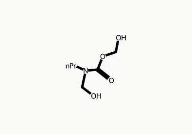 CCCN(CO)C(=O)OCO